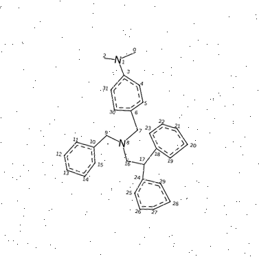 CN(C)c1ccc(CN(Cc2ccccc2)CC(c2ccccc2)c2ccccc2)cc1